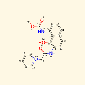 COC(=O)Nc1cccc2ccc(NC(=O)C[n+]3ccccc3)c(O)c12